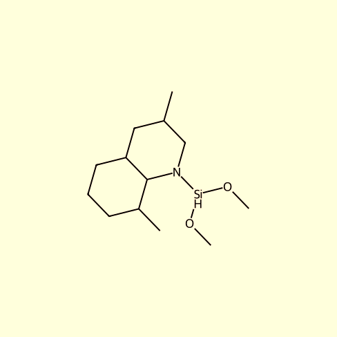 CO[SiH](OC)N1CC(C)CC2CCCC(C)C21